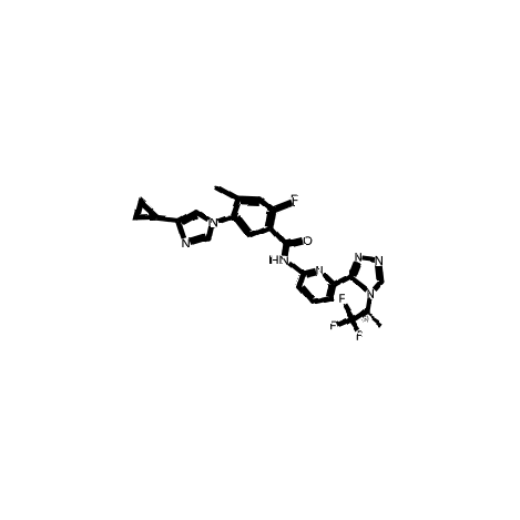 Cc1cc(F)c(C(=O)Nc2cccc(-c3nncn3[C@@H](C)C(F)(F)F)n2)cc1-n1cnc(C2CC2)c1